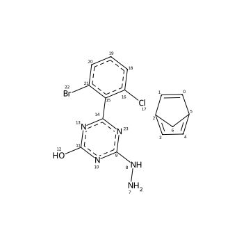 C1=CC2=CC=C1C2.NNc1nc(O)nc(-c2c(Cl)cccc2Br)n1